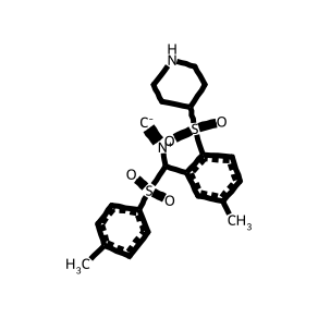 [C-]#[N+]C(c1cc(C)ccc1S(=O)(=O)C1CCNCC1)S(=O)(=O)c1ccc(C)cc1